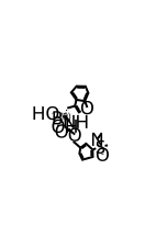 CN=S(C)(=O)c1cccc(COC(=O)N[C@@H](Cc2coc3ccccc23)B(O)O)c1